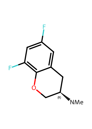 CN[C@H]1COc2c(F)cc(F)cc2C1